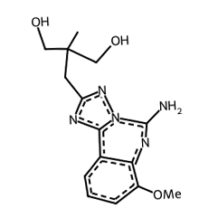 COc1cccc2c1nc(N)n1nc(CC(C)(CO)CO)nc21